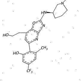 Cc1cc(C(F)(F)F)cc(O)c1-c1cc(CCO)c2oc(N[C@@H]3CCCN(C)C3)nc2n1